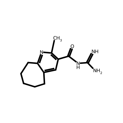 Cc1nc2c(cc1C(=O)NC(=N)N)CCCCC2